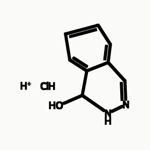 Cl.OC1NN=Cc2ccccc21.[H+]